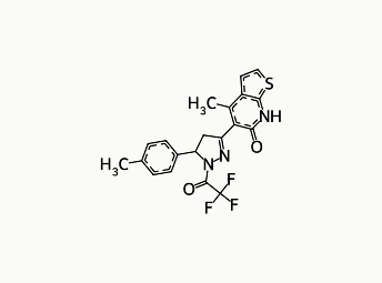 Cc1ccc(C2CC(c3c(C)c4ccsc4[nH]c3=O)=NN2C(=O)C(F)(F)F)cc1